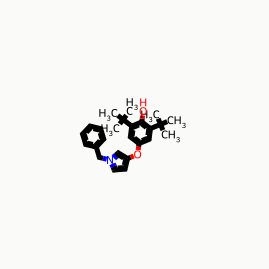 CC(C)(C)c1cc(Oc2ccn(Cc3ccccc3)c2)cc(C(C)(C)C)c1O